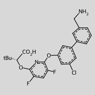 CC(C)(C)[C@@H](Oc1nc(Oc2cc(Cl)cc(-c3cccc(CN)c3)c2)c(F)cc1F)C(=O)O